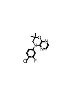 CC1(C)CN(c2ccc(Cl)c(F)c2)c2nccnc2O1